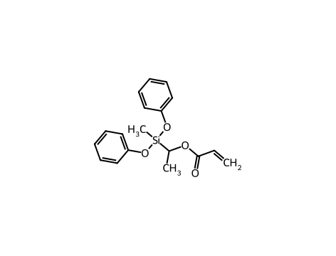 C=CC(=O)OC(C)[Si](C)(Oc1ccccc1)Oc1ccccc1